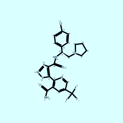 NC(=O)c1cc(C(F)(F)F)cnc1-c1snnc1C(=O)N[C@H](CN1CCCC1)c1ccc(Cl)cc1